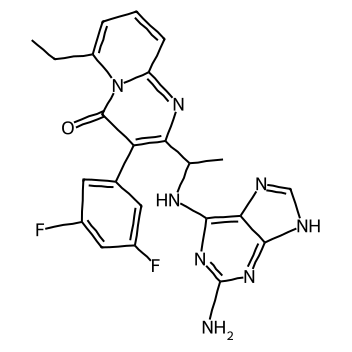 CCc1cccc2nc(C(C)Nc3nc(N)nc4[nH]cnc34)c(-c3cc(F)cc(F)c3)c(=O)n12